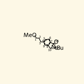 COCCCc1ccc2c(c1)CN(C(C)(C)C)C2=O